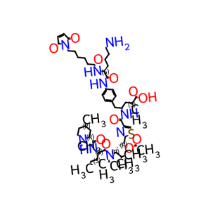 CC[C@H](C)[C@H](NC(=O)[C@H]1C[C@H](C)CCN1C)C(=O)N(CC)[C@H](C[C@@H](OC(C)=O)c1nc(C(=O)NC(Cc2ccc(NC(=O)[C@H](CCCCN)NC(=O)CCCCCN3C(=O)C=CC3=O)cc2)C[C@H](C)C(=O)O)cs1)C(C)C